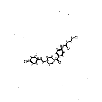 O=C(CCCCl)Nc1ccc(C(=O)N2CCN(CCc3ccc(Cl)cc3)CC2)cc1